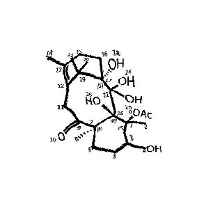 CC(=O)O[C@@]1(C)C(O)CC[C@@]2(C)C(=O)CC3=C(C)CC[C@](O)(C3(C)C)C(O)(O)[C@@]21O